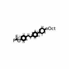 CCCCCCCCC1CCC(c2ccc(CCc3ccc(OC(F)F)cc3)cc2)CC1